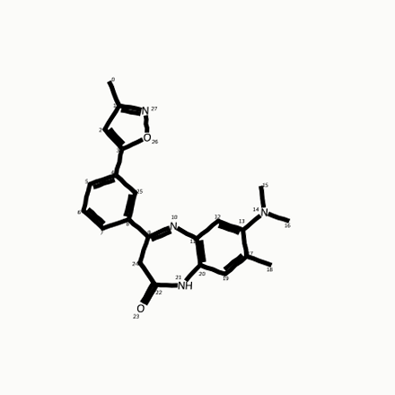 Cc1cc(-c2cccc(C3=Nc4cc(N(C)C)c(C)cc4NC(=O)C3)c2)on1